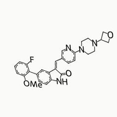 COc1cccc(F)c1-c1ccc2c(c1)C(=Cc1ccc(N3CCN(C4COC4)CC3)nc1)C(=O)N2